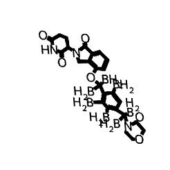 Bc1cc(C(B)(B)N2CCOCC2=O)c(B)c(B)c1C(B)(B)Oc1cccc2c1CN(C1CCC(=O)NC1=O)C2=O